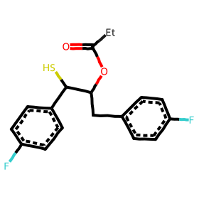 CCC(=O)OC(Cc1ccc(F)cc1)C(S)c1ccc(F)cc1